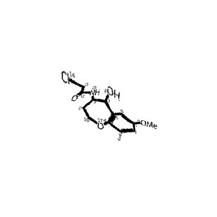 COc1ccc2c(c1)C(O)C(NC(=O)CCl)CCO2